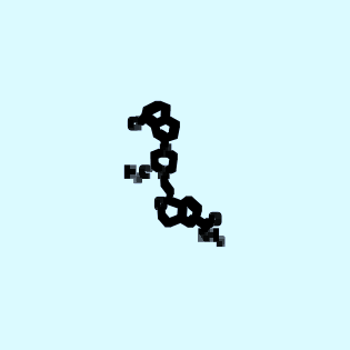 C[C@@H]1CN(c2ccc3cccc(Cl)c3c2)CCN1CC[C@@H]1OCCc2cc(C(N)=O)ccc21